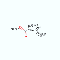 CCCOC(=O)C=C[Si](C)(OC)OC